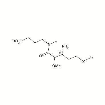 CCOC(=O)CCCN(C)C(=O)C(OC)[C@H](N)CCSCC